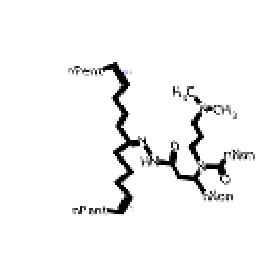 CCCCC/C=C\CCCC(CCC/C=C\CCCCC)=NNC(=O)CC(CCCCCCCCC)N(CCCN(C)C)C(=O)CCCCCCCCC